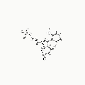 COc1cccc(F)c1-c1cn(COCC[Si](C)(C)C)c2nc(Cl)ccc12